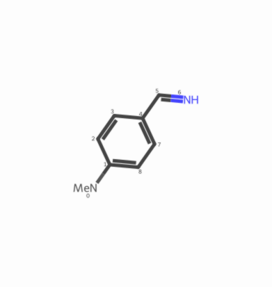 CNc1ccc(C=N)cc1